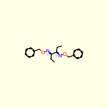 CCC(=N\OCc1ccccc1)/C(CC)=N/OCc1ccccc1